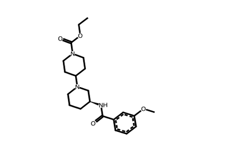 CCOC(=O)N1CCC(N2CCC[C@H](NC(=O)c3cccc(OC)c3)C2)CC1